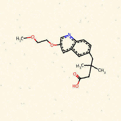 COCCOc1cnc2ccc(CC(C)(C)CC(=O)O)cc2c1